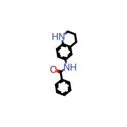 O=C(Nc1ccc2c(c1)CCCN2)c1ccccc1